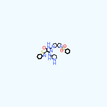 O=c1[nH]c(N2CCC3(CCN(S(=O)(=O)c4ccccc4)C3)C2)nc(N[C@@H]2CCCNC2)c1-c1nc2ccccc2s1